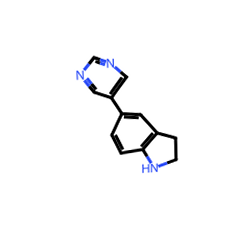 c1ncc(-c2ccc3c(c2)CCN3)cn1